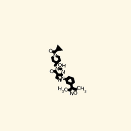 Cc1noc(C)c1-c1cccc(-n2ncc3c(=O)n(CC4(O)CCN(C(=O)C5CC5)CC4)cnc32)c1